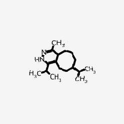 CC1=NNC(C(C)C)=C2CCC(C(C)C)CCCC12